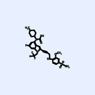 COc1cc(S(N)(=O)=O)ccc1NCC#Cc1cc2c(N(C(=O)O)C3CCN(C)CC3)cc(F)cc2n1CC(F)(F)F